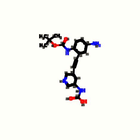 CC(C)(C)OC(=O)Nc1ccc(N)cc1C#Cc1cncc(NC(=O)O)c1